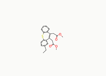 CCc1ccc2c(c1)C(CC(=O)OC)=C(CC(=O)OC)c1ccccc1S2